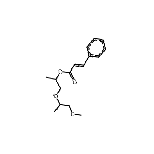 COCC(C)OCC(C)OC(=O)C=Cc1ccccc1